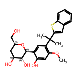 COc1cc(O)c([C@@H]2O[C@H](CO)C[C@H](O)[C@H]2O)cc1C(C)(C)c1cc2ccccc2s1